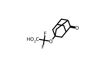 O=C1C2CC3CC1CC(OC(F)(F)C(=O)O)(C3)C2